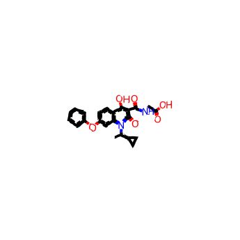 CC(C1CC1)n1c(=O)c(C(=O)NCC(=O)O)c(O)c2ccc(Oc3ccccc3)cc21